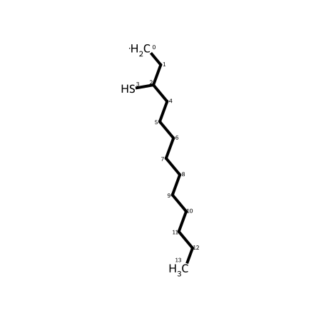 [CH2]CC(S)CCCCCCCCCC